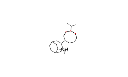 CNC1CC2CCC1CCC(C1CCC3CCCC1CC(C(C)C)C3)C2